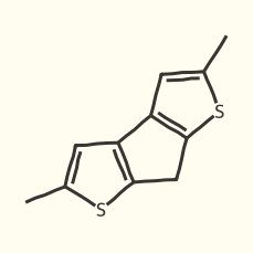 Cc1cc2c(s1)Cc1sc(C)cc1-2